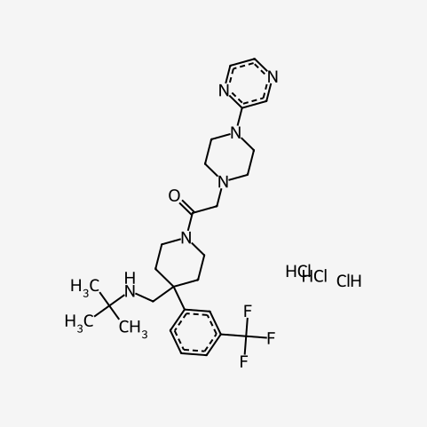 CC(C)(C)NCC1(c2cccc(C(F)(F)F)c2)CCN(C(=O)CN2CCN(c3cnccn3)CC2)CC1.Cl.Cl.Cl